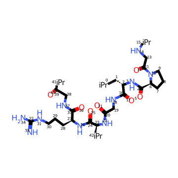 CC(C)C[C@H](NC(=O)[C@@H]1CCCN1C(=O)CNC(C)C)C(=O)NCC(=O)N[C@H](C(=O)N[C@@H](CCCNC(=N)N)C(=O)NCC(=O)C(C)C)C(C)C